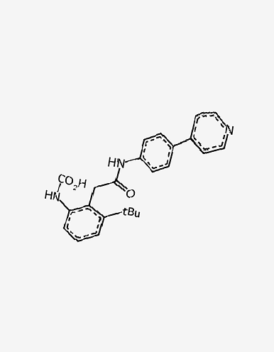 CC(C)(C)c1cccc(NC(=O)O)c1CC(=O)Nc1ccc(-c2ccncc2)cc1